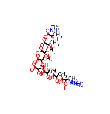 CC(O)C(=O)[O-].CC(O)C(=O)[O-].CC(O)C(=O)[O-].CC(O)C(=O)[O-].CC(O)C(=O)[O-].CC(O)C(=O)[O-].CC(O)C(=O)[O-].CC(O)C(=O)[O-].[NH4+].[NH4+].[NH4+].[NH4+].[Ti+4]